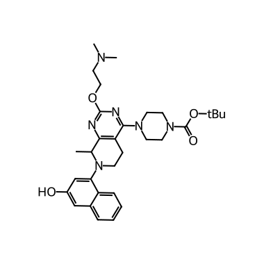 CC1c2nc(OCCN(C)C)nc(N3CCN(C(=O)OC(C)(C)C)CC3)c2CCN1c1cc(O)cc2ccccc12